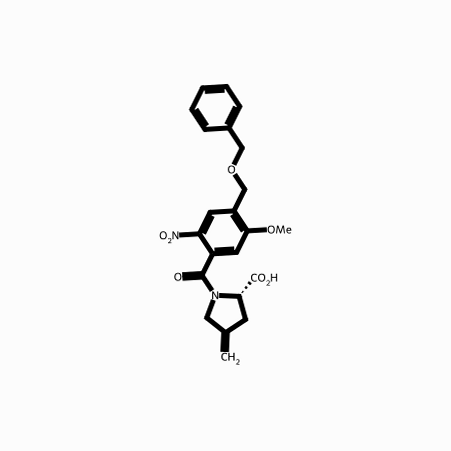 C=C1C[C@@H](C(=O)O)N(C(=O)c2cc(OC)c(COCc3ccccc3)cc2[N+](=O)[O-])C1